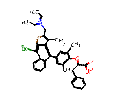 CCN(CC)Cc1sc2c(Br)c3ccccc3c(-c3cc(C)c(O[C@H](Cc4ccccc4)C(=O)O)c(C)c3)c2c1C